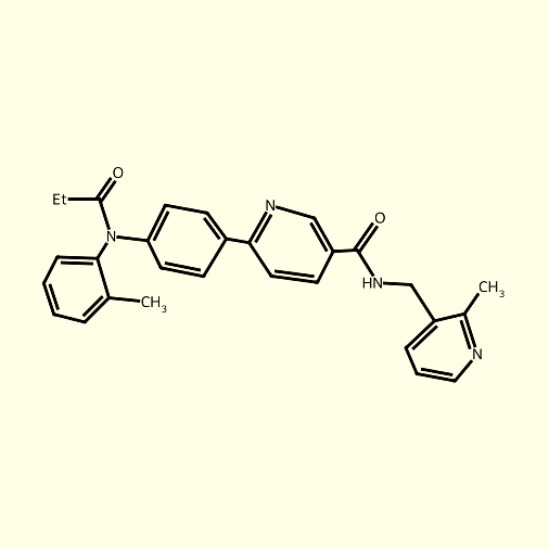 CCC(=O)N(c1ccc(-c2ccc(C(=O)NCc3cccnc3C)cn2)cc1)c1ccccc1C